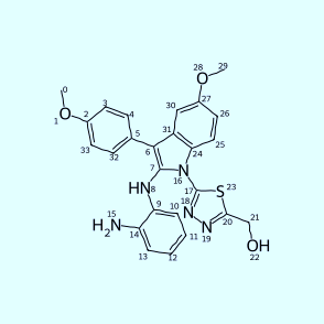 COc1ccc(-c2c(Nc3ccccc3N)n(-c3nnc(CO)s3)c3ccc(OC)cc23)cc1